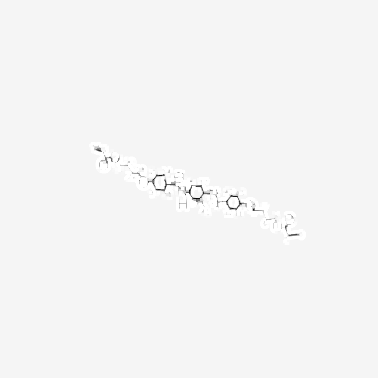 C=CC(=O)OCCCCOc1ccc(/C=N/c2ccc(NC(=O)c3ccc(OCCCCOC(=O)C=C)cc3)cc2C)cc1